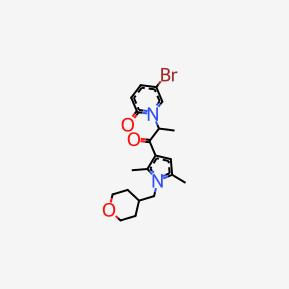 Cc1cc(C(=O)C(C)n2cc(Br)ccc2=O)c(C)n1CC1CCOCC1